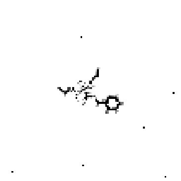 CCOOP(=O)(OOCC)C(=S)SCc1ccccc1